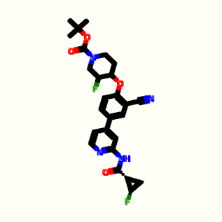 CC(C)(C)OC(=O)N1CCC(Oc2ccc(-c3ccnc(NC(=O)[C@@H]4C[C@H]4F)c3)cc2C#N)C(F)C1